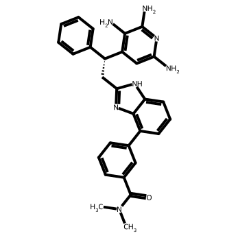 CN(C)C(=O)c1cccc(-c2cccc3[nH]c(C[C@H](c4ccccc4)c4cc(N)nc(N)c4N)nc23)c1